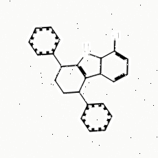 ClC1=CC=CC2C3=C(NC12)C(c1ccccc1)CCC3c1ccccc1